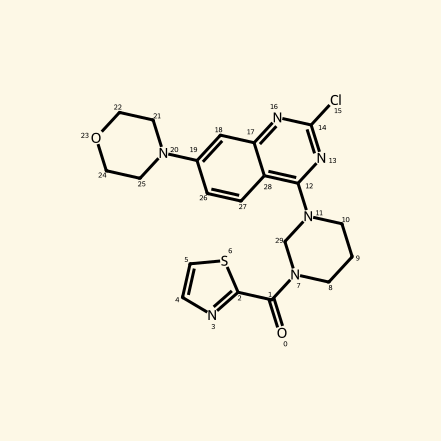 O=C(c1nccs1)N1CCCN(c2nc(Cl)nc3cc(N4CCOCC4)ccc23)C1